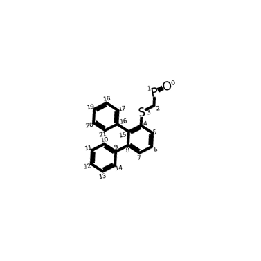 O=PCSc1cccc(-c2ccccc2)c1-c1ccccc1